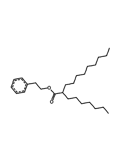 CCCCCCCCCC(CCCCCCC)C(=O)OCCc1ccccc1